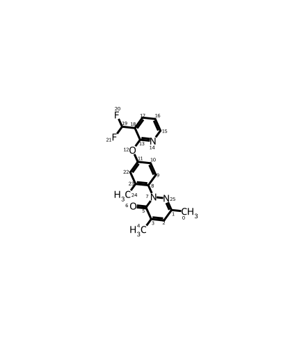 Cc1cc(C)c(=O)n(-c2ccc(Oc3ncccc3C(F)F)cc2C)n1